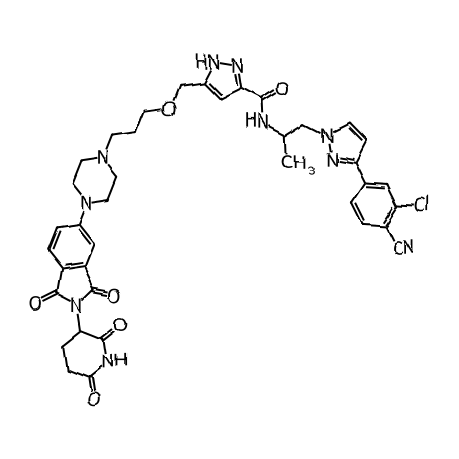 CC(Cn1ccc(-c2ccc(C#N)c(Cl)c2)n1)NC(=O)c1cc(COCCCN2CCN(c3ccc4c(c3)C(=O)N(C3CCC(=O)NC3=O)C4=O)CC2)[nH]n1